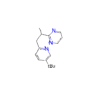 CC(Cc1ccc(C(C)(C)C)cn1)c1ncccn1